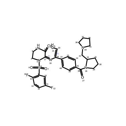 C=C1NCCN(S(=O)(=O)c2cc(F)ccc2F)/C1=N/C(=C\C)c1ccc(C(=O)N2CCCC2CN2CCCC2)cc1